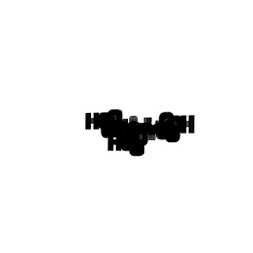 O=S(=O)(O)OCCCC(CCCOS(=O)(=O)O)OS(=O)(=O)O